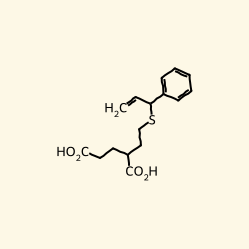 C=CC(SCCC(CCC(=O)O)C(=O)O)c1ccccc1